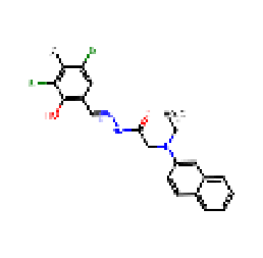 Cc1c(Br)cc(/C=N/NC(=O)CN(CC(=O)O)c2ccc3ccccc3c2)c(O)c1Br